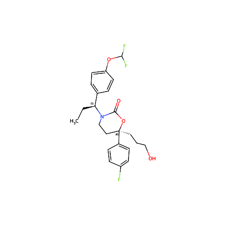 CC[C@@H](c1ccc(OC(F)F)cc1)N1CC[C@](CCCO)(c2ccc(F)cc2)OC1=O